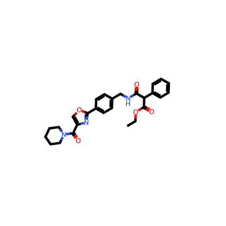 CCOC(=O)C(C(=O)NCc1ccc(-c2nc(C(=O)N3CCCCC3)co2)cc1)c1ccccc1